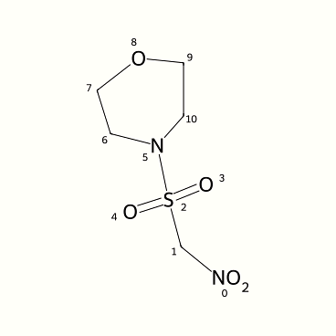 O=[N+]([O-])CS(=O)(=O)N1CCOCC1